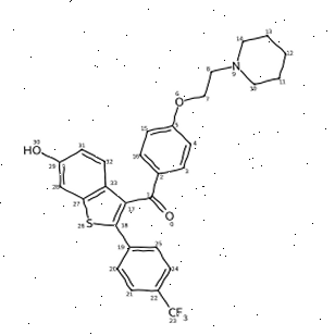 O=C(c1ccc(OCCN2CCCCC2)cc1)c1c(-c2ccc(C(F)(F)F)cc2)sc2cc(O)ccc12